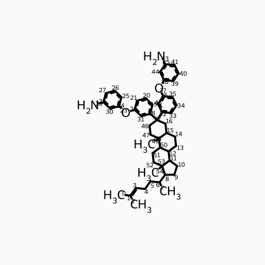 CC(C)=CCCC(C)C1CCC2C3CCC4CC(c5cccc(Oc6cccc(N)c6)c5)(c5cccc(Oc6cccc(N)c6)c5)CCC4(C)C3CCC12C